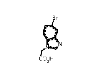 O=C(O)Cn1cnc2cc(Br)ccc21